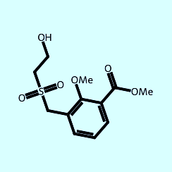 COC(=O)c1cccc(CS(=O)(=O)CCO)c1OC